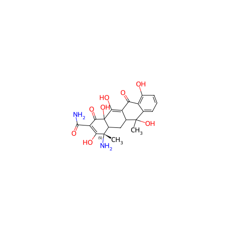 CC1(O)c2cccc(O)c2C(=O)C2=C(O)C3(O)C(=O)C(C(N)=O)=C(O)[C@@](C)(N)C3CC21